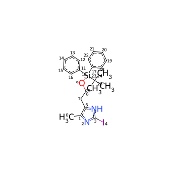 Cc1nc(I)[nH]c1CCO[Si](c1ccccc1)(c1ccccc1)C(C)(C)C